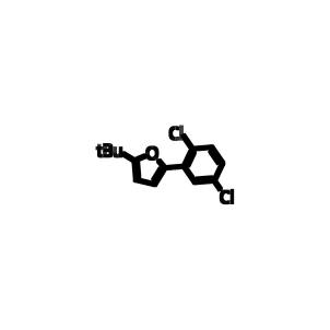 CC(C)(C)c1ccc(-c2cc(Cl)ccc2Cl)o1